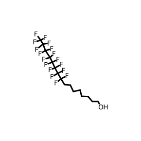 OCCCCCCCCC(F)(F)C(F)(F)C(F)(F)C(F)(F)C(F)(F)C(F)(F)C(F)(F)C(F)(F)F